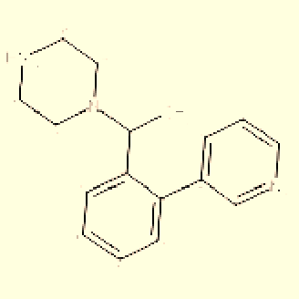 CC(c1ccccc1-c1[c]nccc1)N1CCNCC1